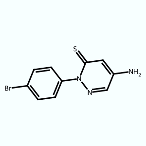 Nc1cnn(-c2ccc(Br)cc2)c(=S)c1